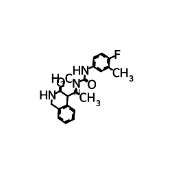 Cc1cc(NC(=O)N(C)[C@@H](C)C2C(=O)NCc3ccccc32)ccc1F